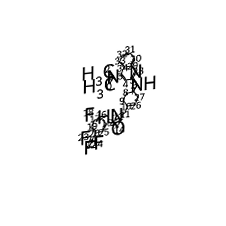 CN(C)c1cc(NC2CCC(CNC(=O)c3cc(F)cc(C(F)(F)F)c3)CC2)nc2ccccc12